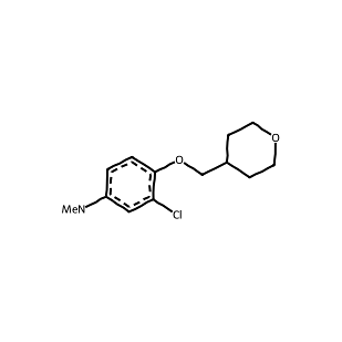 CNc1ccc(OCC2CCOCC2)c(Cl)c1